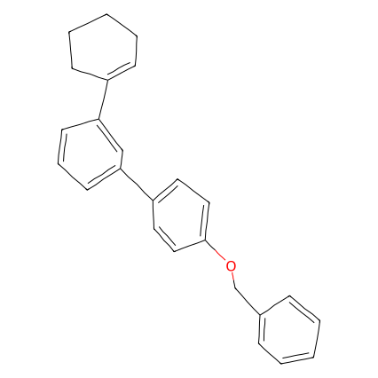 C1=C(c2cccc(-c3ccc(OCc4ccccc4)cc3)c2)CCCC1